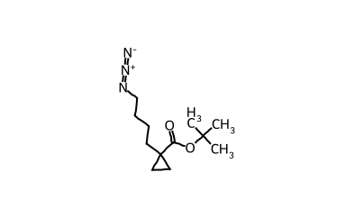 CC(C)(C)OC(=O)C1(CCCCN=[N+]=[N-])CC1